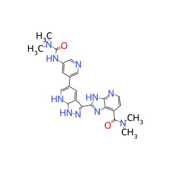 CN(C)C(=O)Nc1cncc(C2=CNC3NN=C(c4nc5c(C(=O)N(C)C)ccnc5[nH]4)C3=C2)c1